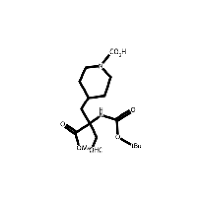 COC(=O)C(CC=O)(CC1CCN(C(=O)O)CC1)NC(=O)OC(C)(C)C